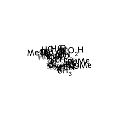 COCC(=O)NN1CCC(C(C)O[N+](=O)[O-])C(Oc2ccccc2CCN(C)CCCC(C#N)(c2ccc(OC)c(OC)c2)C(C)C)C1.O.O=C(O)CC(O)(CC(=O)O)C(=O)O